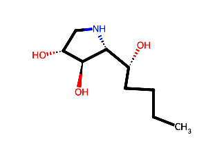 CCCC[C@@H](O)[C@H]1NC[C@@H](O)[C@@H]1O